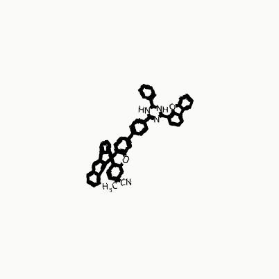 CC1(C#N)C=CC2C(C1)Oc1cc(-c3ccc(C4=NC(c5cccc6c5oc5ccccc56)NC(c5ccccc5)N4)cc3)ccc1C21c2ccccc2-c2cc3ccccc3cc21